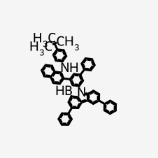 CC(C)(C)c1ccc(Nc2c(-c3cc(-c4ccccc4)cc4c3Bc3cc(-c5ccccc5)cc5c6cc(-c7ccccc7)ccc6n-4c35)ccc3ccccc23)cc1